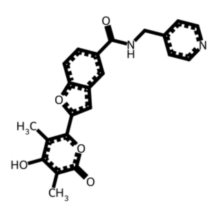 Cc1c(-c2cc3cc(C(=O)NCc4ccncc4)ccc3o2)oc(=O)c(C)c1O